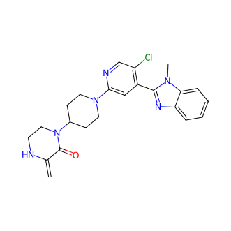 C=C1NCCN(C2CCN(c3cc(-c4nc5ccccc5n4C)c(Cl)cn3)CC2)C1=O